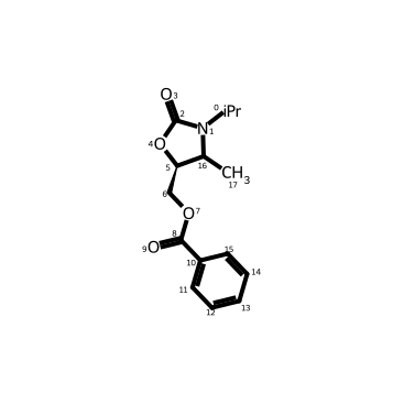 CC(C)N1C(=O)O[C@H](COC(=O)c2ccccc2)C1C